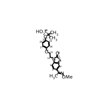 CON=C(C)c1ccc2c(c1)sc(=O)n2CCOc1ccc(OC(C)(C)C(=O)O)cc1